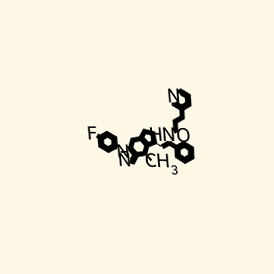 C[C@@H]1C2=C(CC[C@@H]2CC(NC(=O)CCc2cccnc2)c2ccccc2)Cc2c1cnn2-c1ccc(F)cc1